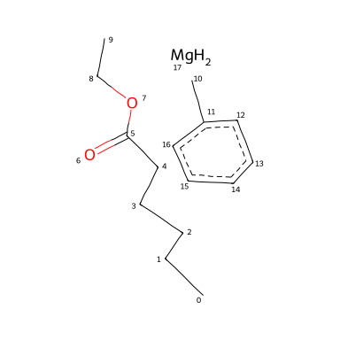 CCCCCC(=O)OCC.Cc1ccccc1.[MgH2]